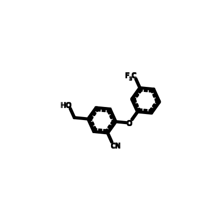 N#Cc1cc(CO)ccc1Oc1cccc(C(F)(F)F)c1